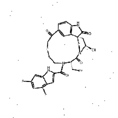 CC(C)C[C@H]1C(=O)N2C[C@]3(C[C@H]2C#N)C(=O)Nc2ccc(cc23)C(=O)CCCCN1C(=O)c1cc2c(F)cc(F)cc2[nH]1